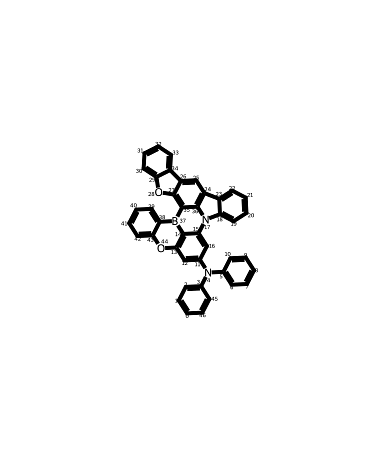 c1ccc(N(c2ccccc2)c2cc3c4c(c2)-n2c5ccccc5c5cc6c(oc7ccccc76)c(c52)B4c2ccccc2O3)cc1